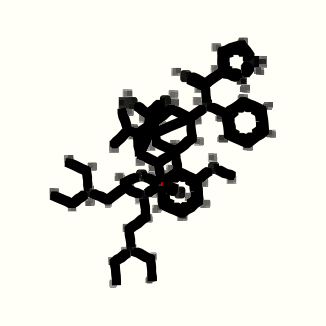 CCN(CC)CCN(CCN(CC)CC)C(=O)C1C2CC3CC1(c1c(OC)cccc1OC)CC(N(C(=O)c1cc[nH]n1)c1ccccc1)(C3)C2(C(=O)O)C(C)C